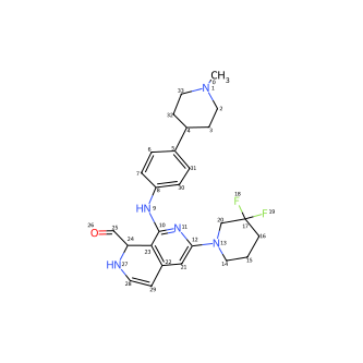 CN1CCC(c2ccc(Nc3nc(N4CCCC(F)(F)C4)cc4c3C(C=O)NC=C4)cc2)CC1